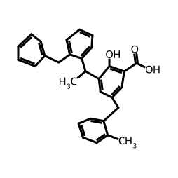 Cc1ccccc1Cc1cc(C(=O)O)c(O)c(C(C)c2ccccc2Cc2ccccc2)c1